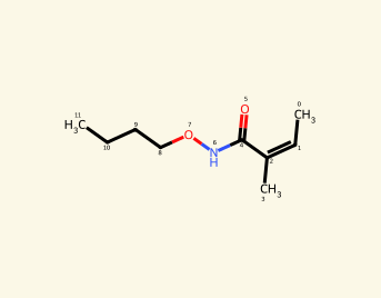 CC=C(C)C(=O)NOCCCC